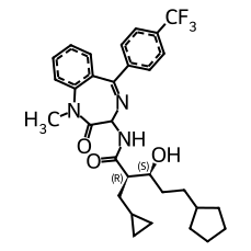 CN1C(=O)C(NC(=O)[C@H](CC2CC2)[C@@H](O)CCC2CCCC2)N=C(c2ccc(C(F)(F)F)cc2)c2ccccc21